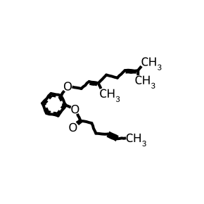 CC#CCCC(=O)Oc1ccccc1OC/C=C(\C)CCC=C(C)C